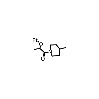 CCOC(C)C(=O)N1CCC(C)CC1